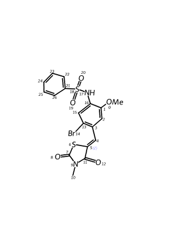 COc1cc(/C=C2\SC(=O)N(C)C2=O)c(Br)cc1NS(=O)(=O)c1ccccc1